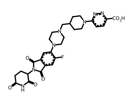 O=C1CCC(N2C(=O)c3cc(F)c(N4CCN(CC5CCN(c6ccc(C(=O)O)nn6)CC5)CC4)cc3C2=O)C(=O)N1